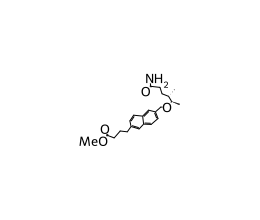 COC(=O)CCCc1ccc2cc(CO[C@H](C)[C@@H](C)CCC(N)=O)ccc2c1